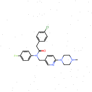 CN1CCN(c2ccc(CN(C(=O)Cc3ccc(Cl)cc3)c3ccc(F)cc3)cn2)CC1